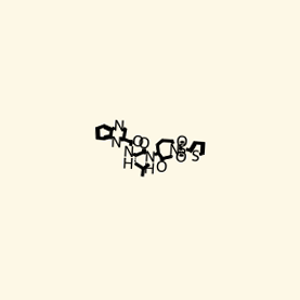 CC(C)C[C@H](NC(=O)c1cnc2ccccc2n1)C(=O)NC1CCCN(S(=O)(=O)c2cccs2)CC1=O